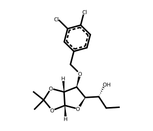 CC[C@@H](O)[C@H]1O[C@@H]2OC(C)(C)O[C@@H]2[C@H]1OCc1ccc(Cl)c(Cl)c1